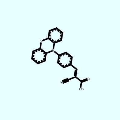 N#C/C(=C\c1ccc(N2c3ccccc3Sc3ccccc32)cc1)C(=O)O